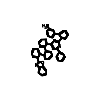 Nc1cccc(-c2ccccc2-c2nc(-c3ccccc3)nc(-c3ccccc3-c3ccccc3-c3ccccc3-c3nc4ccccc4o3)n2)c1